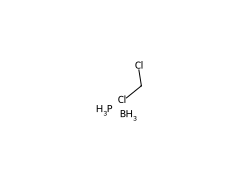 B.ClCCl.P